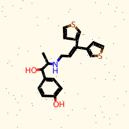 CC(NCC=C(c1ccsc1)c1ccsc1)C(O)c1ccc(O)cc1